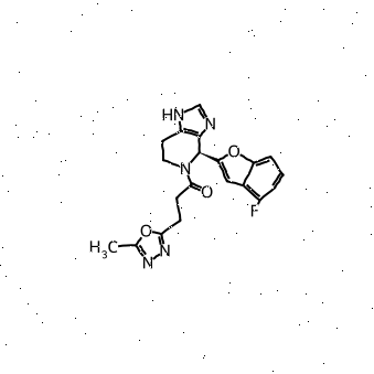 Cc1nnc(CCC(=O)N2CCc3[nH]cnc3[C@H]2c2cc3c(F)cccc3o2)o1